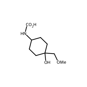 COCC1(O)CCC(NC(=O)O)CC1